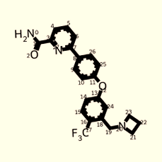 NC(=O)c1cccc(-c2ccc(Oc3ccc(C(F)(F)F)c(CN4CCC4)c3)cc2)n1